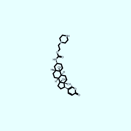 C[C@]12CC[C@H](NC(=O)OCCN3CCNCC3)C[C@H]1CC[C@@H]1[C@@H]2CC[C@]2(C)[C@@H](c3ccc(=O)oc3)CC[C@]12O